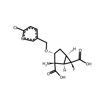 N[C@]1(C(=O)O)[C@H]2[C@@H](C[C@H]1OCc1ccc(Cl)nc1)[C@]2(F)C(=O)O